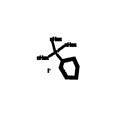 CCCCCC[N+](CCCCCC)(CCCCCC)c1ccccc1.[I-]